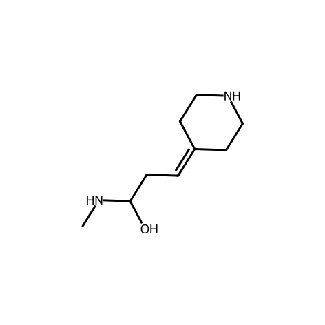 CNC(O)CC=C1CCNCC1